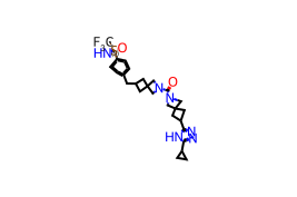 N=[S@](=O)(c1ccc(CC2CC3(C2)CN(C(=O)N2CC4(CC(c5nnc(C6CC6)[nH]5)C4)C2)C3)cc1)C(F)(F)F